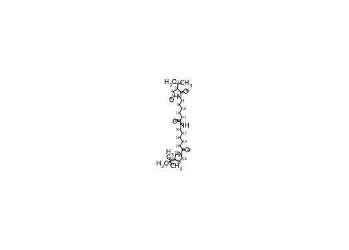 CC(C)C1CC(=O)N(CCCCCC(=O)NCCCCCC(=O)N2CCC(C(C)(C)C)C2)C1=O